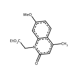 CCOC(=O)Cn1c(=O)cc(C)c2ccc(OC)cc21